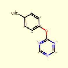 O=Cc1ccc(Oc2ncncn2)cc1